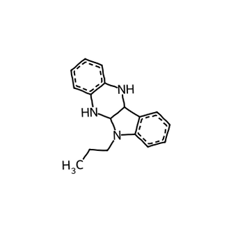 CCCN1c2ccccc2C2Nc3ccccc3NC21